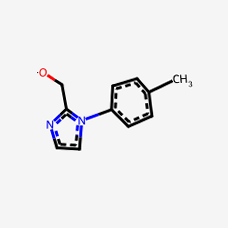 Cc1ccc(-n2ccnc2C[O])cc1